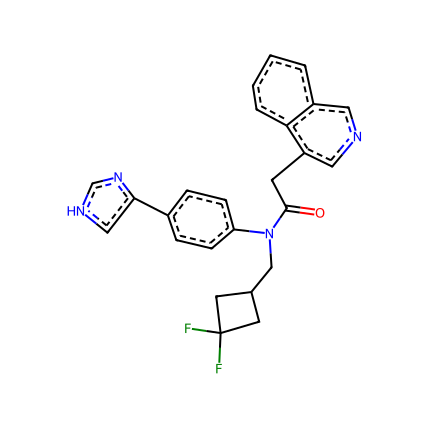 O=C(Cc1cncc2ccccc12)N(CC1CC(F)(F)C1)c1ccc(-c2c[nH]cn2)cc1